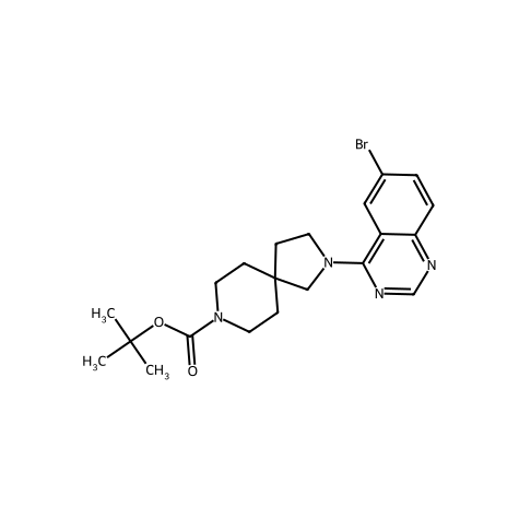 CC(C)(C)OC(=O)N1CCC2(CC1)CCN(c1ncnc3ccc(Br)cc13)C2